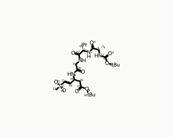 CC(C)[C@H](NC(=O)[C@H](C)NC(=O)OC(C)(C)C)C(=O)NCC(=O)NC(/C=C/S(C)(=O)=O)CC(=O)OC(C)(C)C